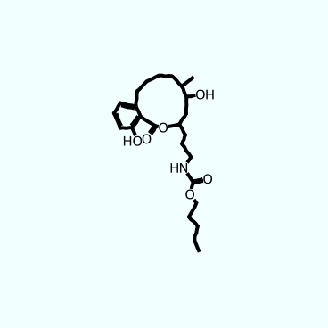 CCCCCOC(=O)NCCCC1CC(O)C(C)CCCCc2cccc(O)c2C(=O)O1